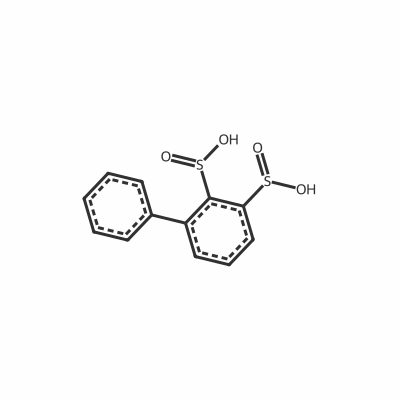 O=S(O)c1cccc(-c2ccccc2)c1S(=O)O